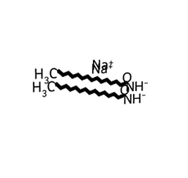 CCCCCCCCCCCCCCCC([NH-])=O.CCCCCCCCCCCCCCCC([NH-])=O.[Na+].[Na+]